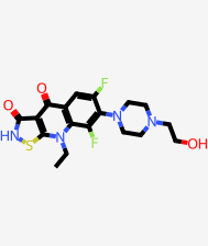 CCn1c2s[nH]c(=O)c2c(=O)c2cc(F)c(N3CCN(CCO)CC3)c(F)c21